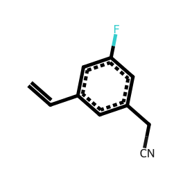 C=Cc1cc(F)cc(CC#N)c1